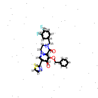 O=C1c2c(OCc3ccccc3)c(=O)c(-c3nccs3)cn2CCN1Cc1ccc(F)c(F)c1